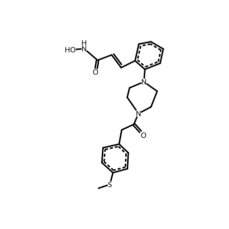 CSc1ccc(CC(=O)N2CCN(c3ccccc3/C=C/C(=O)NO)CC2)cc1